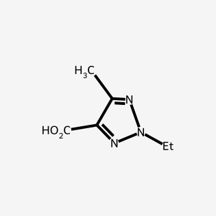 CCn1nc(C)c(C(=O)O)n1